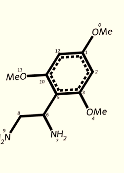 COc1cc(OC)c(C(N)CN)c(OC)c1